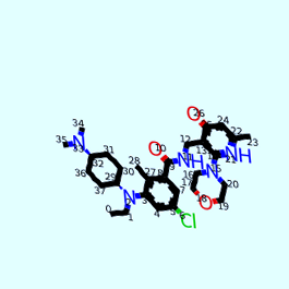 CCN(c1cc(Cl)cc(C(=O)NCc2c(N3CCOCC3)[nH]c(C)cc2=O)c1C)[C@H]1CC[C@H](N(C)C)CC1